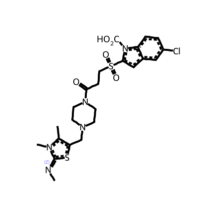 C/N=c1\sc(CN2CCN(C(=O)CCS(=O)(=O)c3cc4cc(Cl)ccc4n3C(=O)O)CC2)c(C)n1C